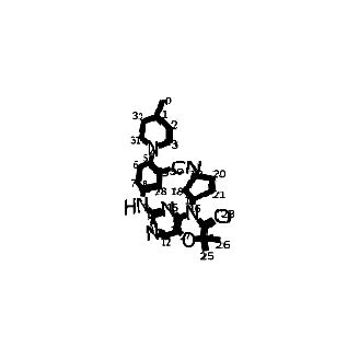 CC1CCN(c2ccc(Nc3ncc4c(n3)N(C3CCCC3)C(=O)C(C)(C)O4)cc2C#N)CC1